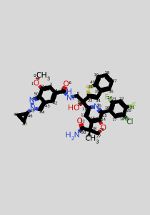 COc1cc(C(=O)NCC(O)(c2cc3c(c(-c4cc(Cl)c(F)cc4F)n2)OC[C@]3(C)C(N)=O)c2cc3ccccc3s2)cc2cn(C3CC3)nc12